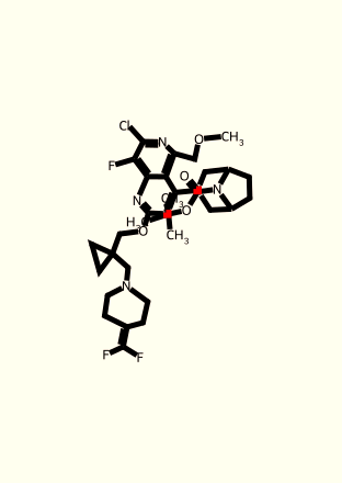 COCc1nc(Cl)c(F)c2nc(OCC3(CN4CCC(=C(F)F)CC4)CC3)nc(N3CC4CCC(C3)N4C(=O)OC(C)(C)C)c12